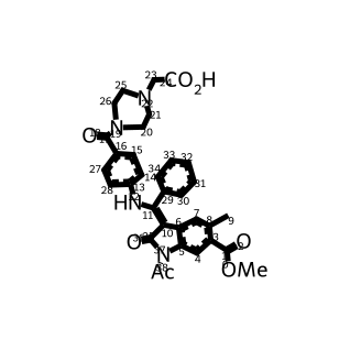 COC(=O)c1cc2c(cc1C)/C(=C(/Nc1ccc(C(=O)N3CCN(CC(=O)O)CC3)cc1)c1ccccc1)C(=O)N2C(C)=O